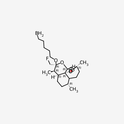 BCCCCCO[C@@]1(CF)O[C@@H]2O[C@]3(C)CCC4[C@H](C)CC[C@@H]([C@H]1C)[C@]42OO3